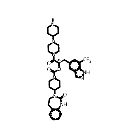 CN1CCC(N2CCN(C(=O)[C@@H](Cc3cc(C(F)(F)F)c4[nH]ncc4c3)OC(=O)N3CCC(N4CCc5ccccc5NC4=O)CC3)CC2)CC1